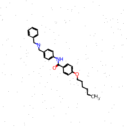 CCCCCCOc1ccc(C(=O)Nc2ccc(C[N]Cc3ccccc3)cc2)cc1